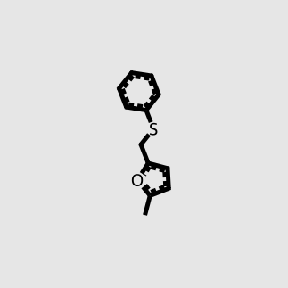 Cc1ccc(CSc2ccccc2)o1